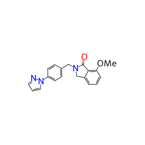 COc1cccc2c1C(=O)N(Cc1ccc(-n3cccn3)cc1)C2